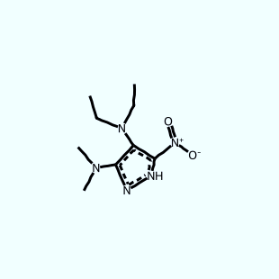 CCN(CC)c1c(N(C)C)n[nH]c1[N+](=O)[O-]